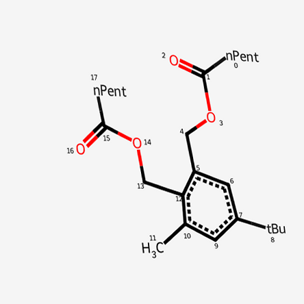 CCCCCC(=O)OCc1cc(C(C)(C)C)cc(C)c1COC(=O)CCCCC